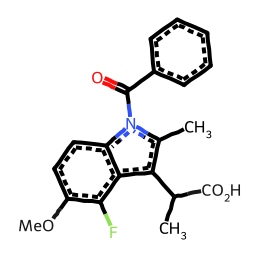 COc1ccc2c(c1F)c(C(C)C(=O)O)c(C)n2C(=O)c1ccccc1